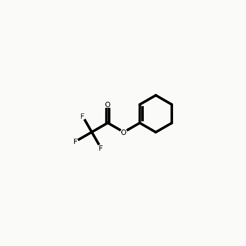 O=C(OC1=CCCCC1)C(F)(F)F